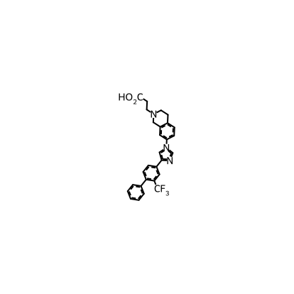 O=C(O)CCN1CCc2ccc(-n3cnc(-c4ccc(-c5ccccc5)c(C(F)(F)F)c4)c3)cc2C1